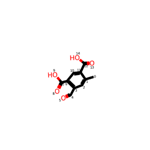 Cc1cc(C=O)c(C(=O)O)cc1C(=O)O